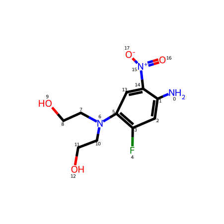 Nc1cc(F)c(N(CCO)CCO)cc1[N+](=O)[O-]